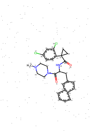 CN1CCN(C(=O)C(Cc2ccc3ccccc3c2)NC(=O)C2(c3ccc(Cl)cc3Cl)CC2)CC1